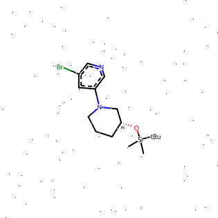 CC(C)(C)[Si](C)(C)O[C@@H]1CCCN(c2cncc(Br)c2)C1